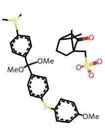 CC1(C)C2CCC1(CS(=O)(=O)[O-])C(=O)C2.COc1ccc(Sc2ccc(C(OC)(OC)c3ccc([S+](C)C)cc3)cc2)cc1